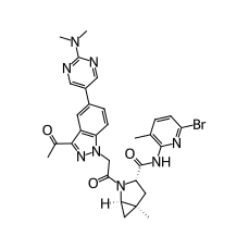 CC(=O)c1nn(CC(=O)N2[C@H](C(=O)Nc3nc(Br)ccc3C)C[C@@]3(C)C[C@@H]23)c2ccc(-c3cnc(N(C)C)nc3)cc12